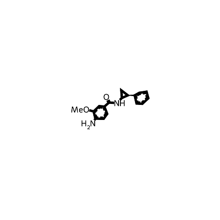 COc1cc(C(=O)NC2C[C@H]2c2ccccc2)ccc1N